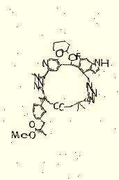 COC(=O)[C@H](C)Cc1cccc([C@@]2(C)CCCCC(C)(C)c3cn(nn3)Cc3c(c(F)cc4[nH]ccc34)C(OC3CCCCO3)c3ccnc(c3)-c3nc2nn3C)c1